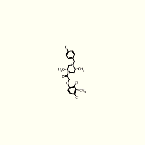 Cc1c(Cl)ccc(OCC(=O)N2C[C@H](C)N(Cc3ccc(F)cc3)C[C@H]2C)c1Cl